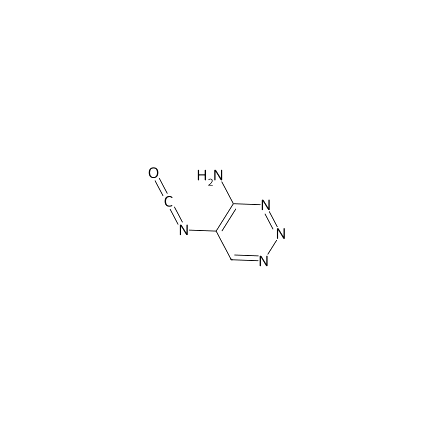 Nc1nnncc1N=C=O